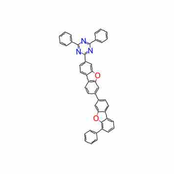 c1ccc(-c2nc(-c3ccccc3)nc(-c3ccc4c(c3)oc3cc(-c5ccc6c(c5)oc5c(-c7ccccc7)cccc56)ccc34)n2)cc1